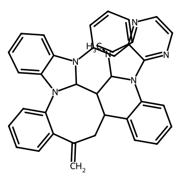 C=C1CC2c3ccccc3N3c4nccnc4N(C)C3C2C2N(c3ccccc3)c3ccccc3N2c2ccccc21